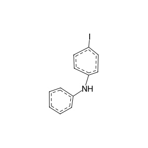 Ic1ccc(Nc2ccccc2)cc1